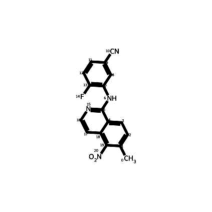 Cc1ccc2c(Nc3cc(C#N)ccc3F)nccc2c1[N+](=O)[O-]